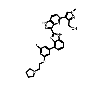 Cn1cc(-c2ccc3[nH]nc(-c4nc5c(-c6cc(F)cc(OCCN7CCCC7)c6)cccc5[nH]4)c3n2)c(CO)n1